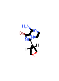 Nc1nccn2c([C@H]3[C@@H]4COC[C@@H]43)nc(Br)c12